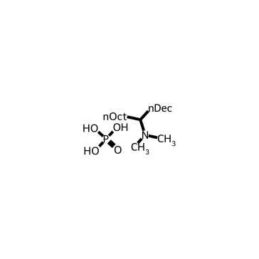 CCCCCCCCCCC(CCCCCCCC)N(C)C.O=P(O)(O)O